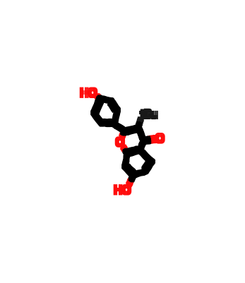 CC(C)(C)c1c(-c2ccc(O)cc2)oc2cc(O)ccc2c1=O